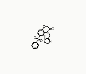 O=C1COc2ccc(S(=O)(=O)c3ccccc3)cc2N1CC1=NCCN1